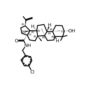 C=C(C)[C@@H]1CC[C@]2(C(=O)NCc3ccc(Cl)cc3)CC[C@]3(C)[C@H](CC[C@@H]4[C@@]5(C)CC[C@H](O)C(C)(C)[C@@H]5CC[C@]43C)[C@@H]12